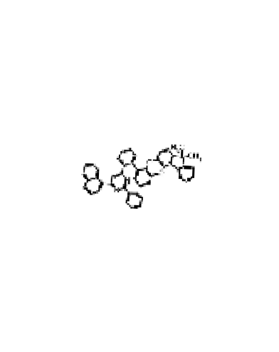 CC1(C)c2ccccc2-c2c1ccc1c2Oc2cccc(-c3ccccc3-c3cc(-c4cccc5ccccc45)nc(-c4ccccc4)n3)c2O1